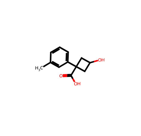 Cc1cccc(C2(C(=O)O)CC(O)C2)c1